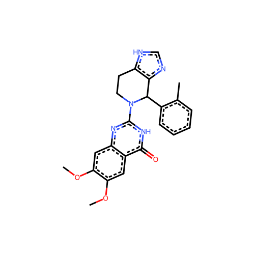 COc1cc2nc(N3CCc4[nH]cnc4C3c3ccccc3C)[nH]c(=O)c2cc1OC